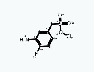 Nc1cc(CS(=O)(=O)OCl)ccc1F